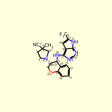 CC1(C#N)CCN([C@H]2COc3ccccc3[C@@H]2Nc2ncnc3[nH]c(C(F)(F)F)cc23)C1